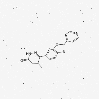 CC1CC(=O)NN=C1c1ccc2nc(-c3ccncc3)oc2c1